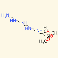 CO[Si](CCCNCCNCCNCCNCCN)(OC)OC